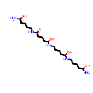 NC(O)CCCCNC(=O)CCCC(O)NCCCCC(O)NCCCCC(N)O